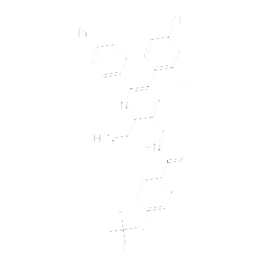 NCc1nc(-c2ccc(Br)cc2)c(-c2ccc(Cl)cc2Cl)cc1CNC(=O)c1ccc(SC(F)(F)F)cc1